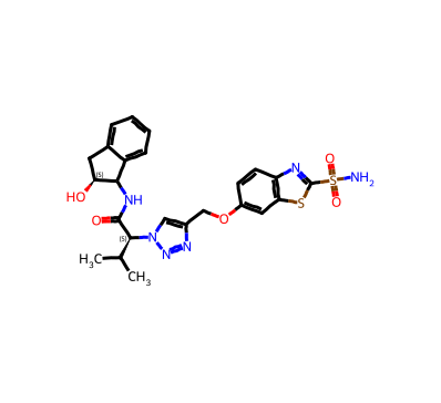 CC(C)[C@@H](C(=O)NC1c2ccccc2C[C@@H]1O)n1cc(COc2ccc3nc(S(N)(=O)=O)sc3c2)nn1